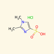 Cc1nc(S(=O)(=O)O)cn1C.Cl